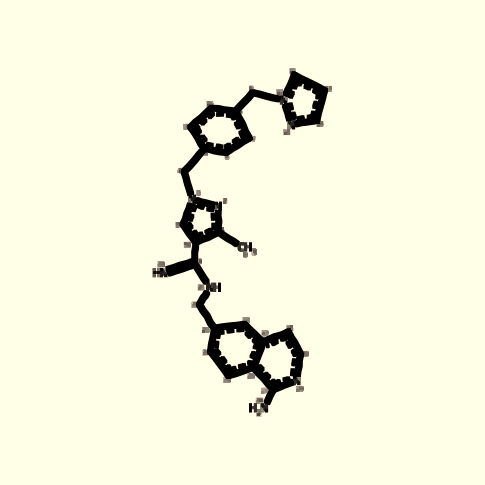 Cc1nn(Cc2ccc(Cn3cccn3)cc2)cc1C(=N)NCc1ccc2c(N)nccc2c1